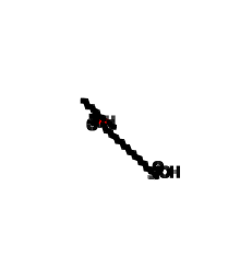 CCC(=O)O.CCCCCCCCCCCC.CCCCCCCCCCCCCCCCCCSC(C)C(=O)O